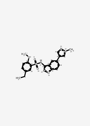 CCc1ccc(OC)c(S(=O)(=O)Nc2noc3ccc(-c4cnn(C)c4)cc23)c1